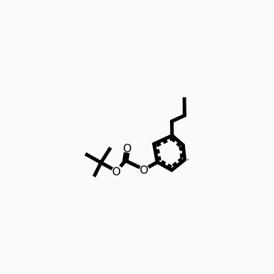 CCCc1c[c]cc(OC(=O)OC(C)(C)C)c1